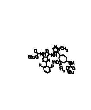 Cn1ncc(NC(=O)c2nc(-c3c(F)cccc3F)sc2NC(=O)OC(C)(C)C)c1C1CCC(NC(=O)OC(C)(C)C)CC(C)(O)C1